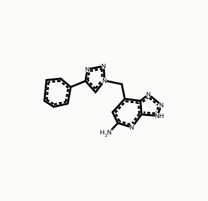 Nc1cc(Cn2cc(-c3ccccc3)nn2)c2nn[nH]c2n1